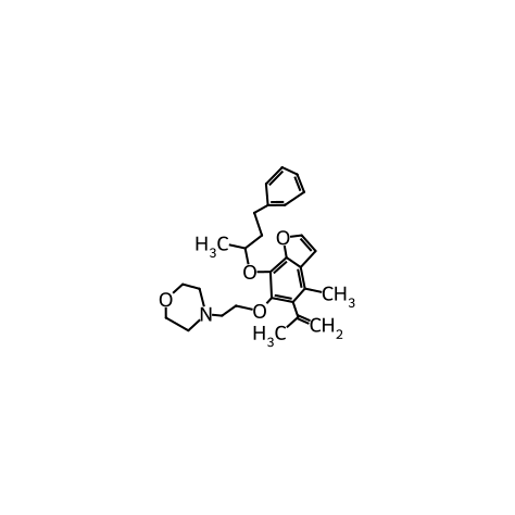 C=C(C)c1c(OCCN2CCOCC2)c(OC(C)CCc2ccccc2)c2occc2c1C